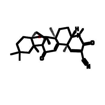 CN1C(=O)C(C#N)=C[C@@]2(C)C3=CC(=O)[C@@]45CC[C@]6(CCC(C)(C)CC64C)CC[C@]5(C)[C@@]3(C)CC[C@H]12